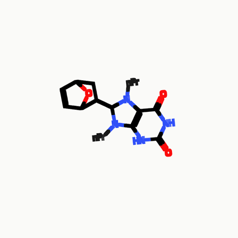 CCCN1c2[nH]c(=O)[nH]c(=O)c2N(CCC)C1C1CC2C=CC1O2